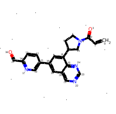 C=CC(=O)N1CCC(c2cc(-c3ccc(C=O)nc3)cc3cncnc23)C1